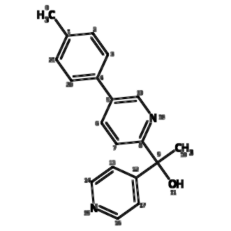 Cc1ccc(-c2ccc(C(C)(O)c3ccncc3)nc2)cc1